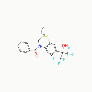 CC[C@H]1CN(C(=O)c2ccccc2)c2ccc(C(O)(C(F)(F)F)C(F)(F)F)cc2S1